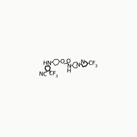 N#Cc1ccc(NC2CCC(OCC(=O)NC3CCN(c4ccc(C(F)(F)F)cn4)CC3)CC2)cc1C(F)(F)F